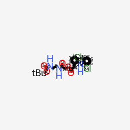 CC(C)(C)OC(=O)NCCNC(=O)COC(=O)Cc1ccccc1Nc1c(Cl)cccc1Cl